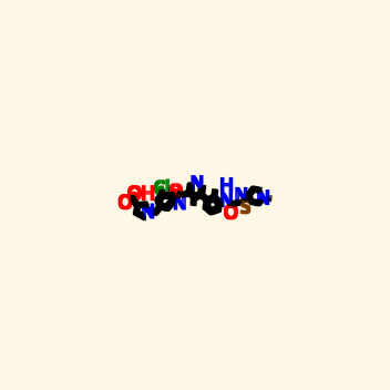 Cc1c(NC(=O)c2nc3c(s2)CN(C)CC3)cccc1-c1cncc(-c2nc3cc(CN4CCC(C(=O)O)C4)cc(Cl)c3o2)c1C